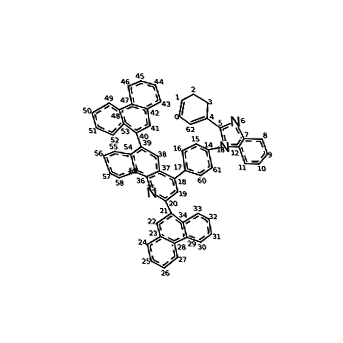 C1=CCCC(c2nc3ccccc3n2-c2ccc(-c3cc(-c4cc5ccccc5c5ccccc45)nc4c3cc(-c3cc5ccccc5c5ccccc35)c3ccccc34)cc2)=C1